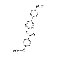 CCCCCCCCOc1ccc(C(=O)Oc2ncc(-c3ccc(CCCCCCCC)cc3)cn2)cc1